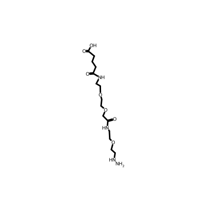 NNCCOCCNC(=O)COCCOCCNC(=O)CCCC(=O)O